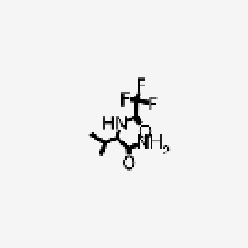 CC(C)C(NC(=O)C(F)(F)F)C(N)=O